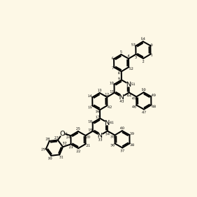 c1ccc(-c2cccc(-c3cc(-c4cccc(-c5cc(-c6ccc7c(c6)oc6ccccc67)nc(-c6ccccc6)n5)c4)nc(-c4ccccc4)n3)c2)cc1